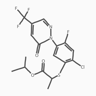 CC(C)OC(=O)C(C)Sc1cc(-n2ncc(C(F)(F)F)cc2=O)c(F)cc1Cl